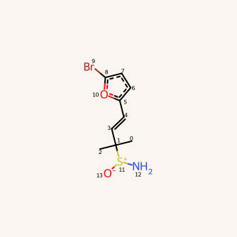 CC(C)(C=Cc1ccc(Br)o1)[S+](N)[O-]